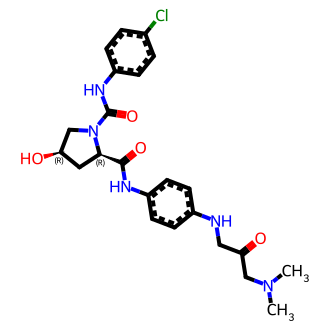 CN(C)CC(=O)CNc1ccc(NC(=O)[C@H]2C[C@@H](O)CN2C(=O)Nc2ccc(Cl)cc2)cc1